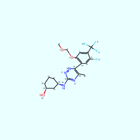 COCOc1cc(C(F)(F)F)c(F)cc1-c1nnc(N[C@@H]2CCC[C@H](O)C2)nc1C